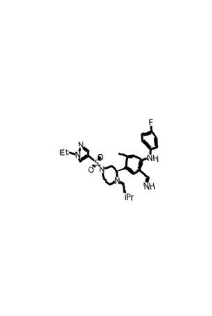 CCn1cc(S(=O)(=O)N2CCN(CC(C)C)[C@H](c3cc(C=N)c(Nc4ccc(F)cc4)cc3C)C2)cn1